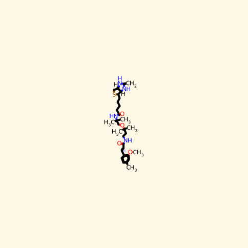 C=C1N[C@H]2CSC(CCCCC(=O)NC(C)(C)COC(C)(C)CCNC(=O)/C=C/c3ccc(C)cc3OC)[C@H]2N1